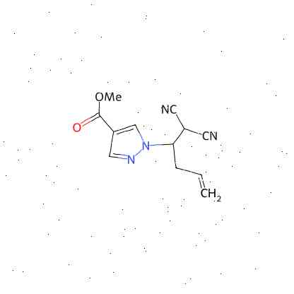 C=CCC(C(C#N)C#N)n1cc(C(=O)OC)cn1